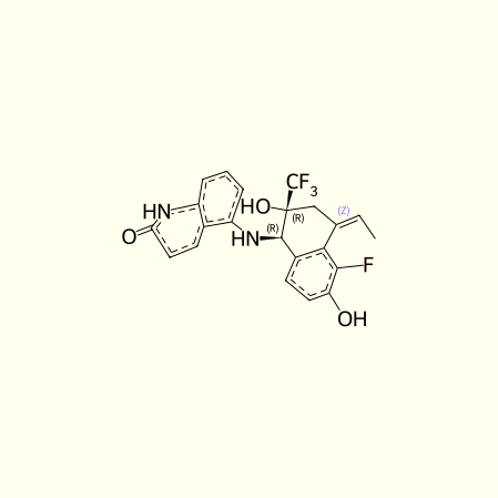 C/C=C1/C[C@](O)(C(F)(F)F)[C@H](Nc2cccc3[nH]c(=O)ccc23)c2ccc(O)c(F)c21